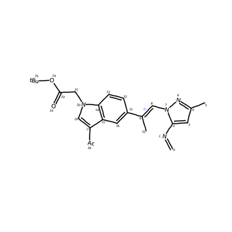 C=Nc1cc(C)nn1/C=C(\C)c1ccc2c(c1)c(C(C)=O)cn2CC(=O)OC(C)(C)C